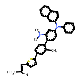 CCN(CC)c1cc(N(c2ccccc2)c2ccc3ccccc3c2)ccc1-c1ccc(-c2ccc(/C=C(\C#N)C(=O)O)s2)cc1C